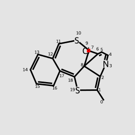 CC1=C2N=CC=C(Cl)C23CSC=c2ccccc2=C3S1